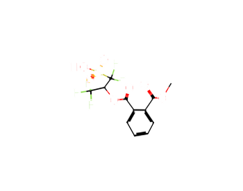 COC(=O)c1ccccc1C(=O)OC(C(F)(F)F)C(F)(F)S(=O)(=O)O